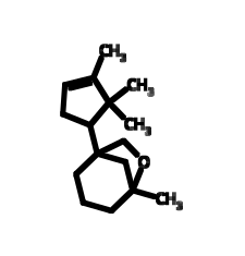 CC1=CCC(C23CCCC(C)(C2)OC3)C1(C)C